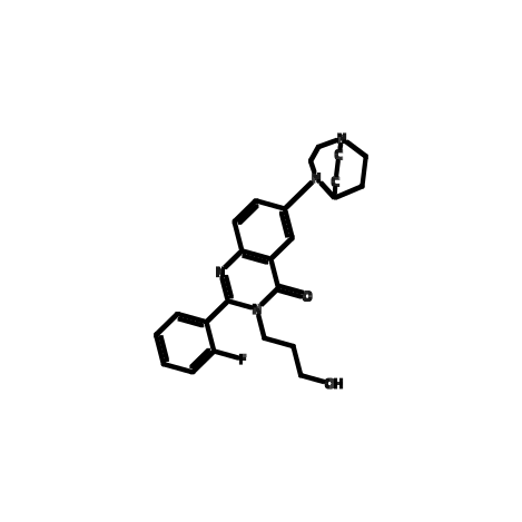 O=c1c2cc(N3CCN4CCC3CC4)ccc2nc(-c2ccccc2F)n1CCCO